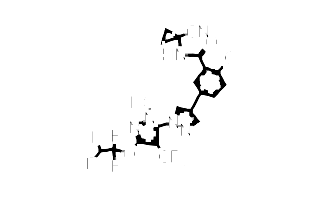 Cn1nc(OC(F)(F)C(F)F)c(C(F)(F)F)c1-n1cc(-c2ccc(Cl)c(C(=O)NC3(C#N)CC3)c2)cn1